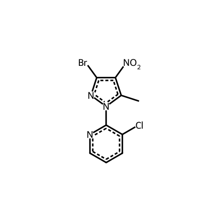 Cc1c([N+](=O)[O-])c(Br)nn1-c1ncccc1Cl